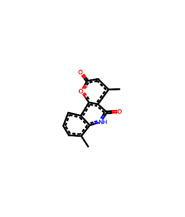 Cc1cccc2c1[nH]c(=O)c1c(C)cc(=O)oc12